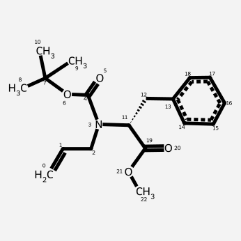 C=CCN(C(=O)OC(C)(C)C)[C@H](Cc1ccccc1)C(=O)OC